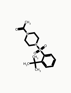 CC(=O)N1CCN(S(=O)(=O)c2ccccc2C(C)(C)C)CC1